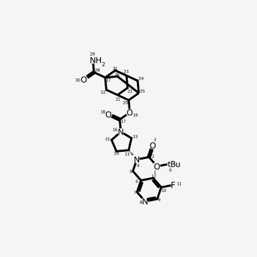 CC(C)(C)OC(=O)N(Cc1cncc(F)c1)[C@@H]1CCN(C(=O)OC2C3CC4CC2CC(C(N)=O)(C4)C3)C1